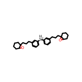 c1cc(CCCC23CCCCC2O3)cc([SiH2]c2cccc(CCCC34CCCCC3O4)c2)c1